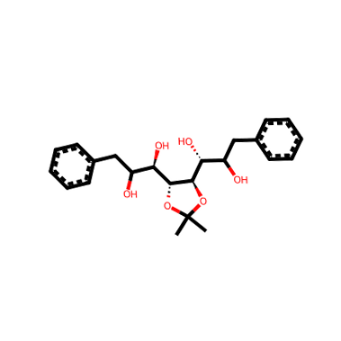 CC1(C)O[C@H]([C@H](O)C(O)Cc2ccccc2)[C@@H]([C@H](O)C(O)Cc2ccccc2)O1